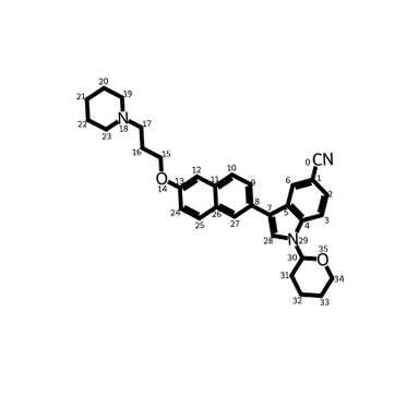 N#Cc1ccc2c(c1)c(-c1ccc3cc(OCCCN4CCCCC4)ccc3c1)cn2C1CCCCO1